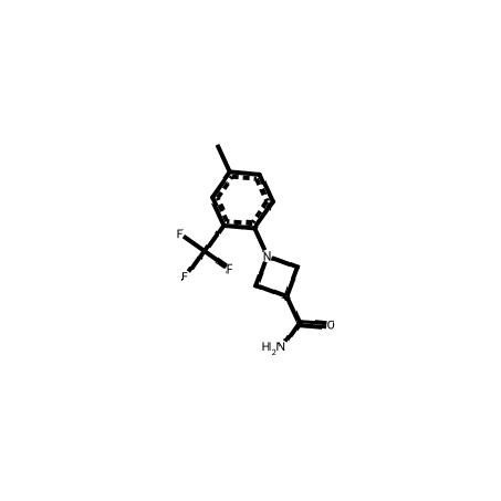 Cc1ccc(N2CC(C(N)=O)C2)c(C(F)(F)F)c1